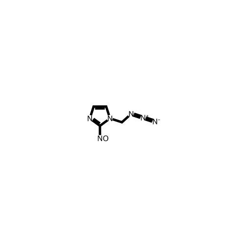 [N-]=[N+]=NCn1ccnc1N=O